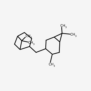 CC1CC2C(CC1CC1CCC3CC1C3(C)C)C2(C)C